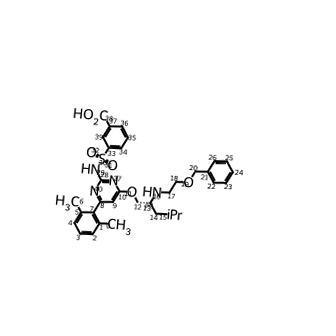 Cc1cccc(C)c1-c1cc(OC[C@@H](CC(C)C)NCCOCc2ccccc2)nc(NS(=O)(=O)c2cccc(C(=O)O)c2)n1